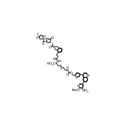 COc1ncc(-c2ccc3nccc(-c4ccc(COC(=O)NCCSSCC(NC(=O)CCc5cccc6c5CN(C(=O)C[C@@H]5C[C@@H](C(=O)N7CC(F)(F)C[C@H]7C)NC5=O)C6)C(=O)O)nc4)c3c2)cc1N